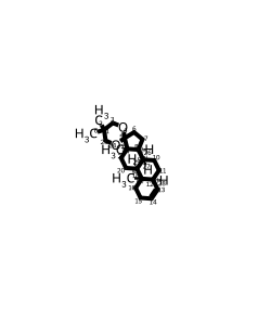 CC1(C)COC2(CC[C@H]3[C@@H]4CC[C@H]5C=CCC[C@]5(C)[C@H]4CC[C@@]32C)OC1